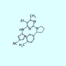 CCc1c(C)nc(N2CCCC2c2ccc(C)cc2)nc1Nc1ncc(C#N)s1